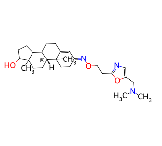 CN(C)Cc1cnc(CCON=C2C=C3CCC4C5CCC(O)C5(C)CC[C@H]4C3(C)CC2)o1